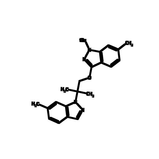 Cc1ccc2c(OCC(C)(C)n3ncc4ccc(C)cc43)nn(C(C)(C)C)c2c1